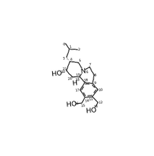 CC(C)C[C@@H]1CN2CCc3cc(CO)c(CO)cc3[C@H]2C[C@@H]1O